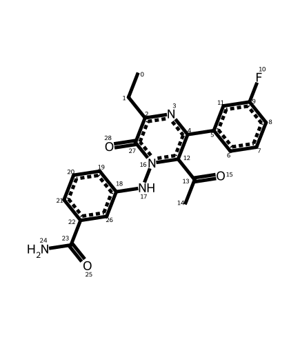 CCc1nc(-c2cccc(F)c2)c(C(C)=O)n(Nc2cccc(C(N)=O)c2)c1=O